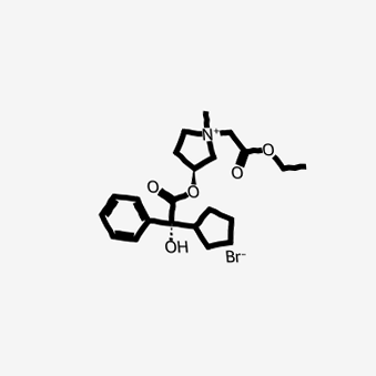 CCOC(=O)C[N+]1(C)CC[C@H](OC(=O)[C@](O)(c2ccccc2)C2CCCC2)C1.[Br-]